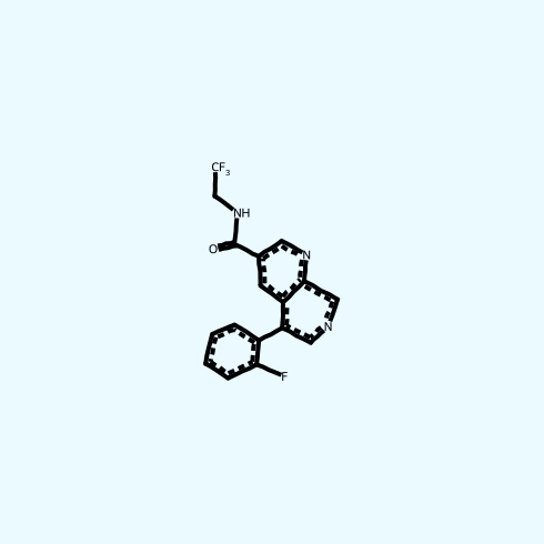 O=C(NCC(F)(F)F)c1cnc2cncc(-c3ccccc3F)c2c1